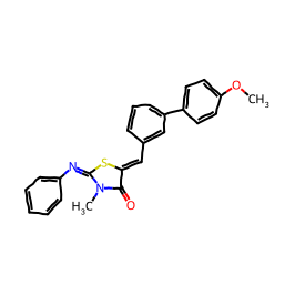 COc1ccc(-c2cccc(/C=C3\S/C(=N/c4ccccc4)N(C)C3=O)c2)cc1